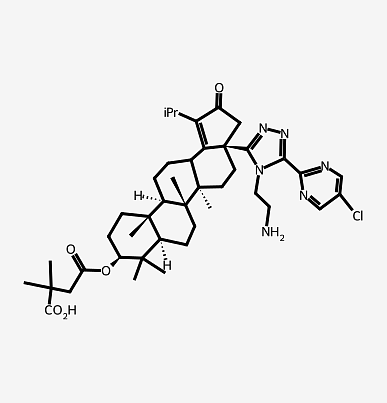 CC(C)C1=C2C3CC[C@@H]4[C@@]5(C)CC[C@H](OC(=O)CC(C)(C)C(=O)O)C(C)(C)[C@@H]5CC[C@@]4(C)[C@]3(C)CC[C@@]2(c2nnc(-c3ncc(Cl)cn3)n2CCN)CC1=O